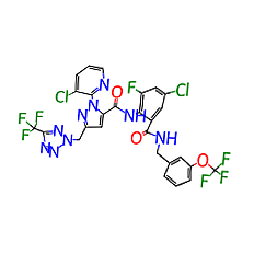 O=C(NCc1cccc(OC(F)(F)F)c1)c1cc(Cl)cc(F)c1NC(=O)c1cc(Cn2nnc(C(F)(F)F)n2)nn1-c1ncccc1Cl